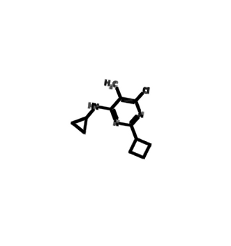 Cc1c(Cl)nc(C2CCC2)nc1NC1CC1